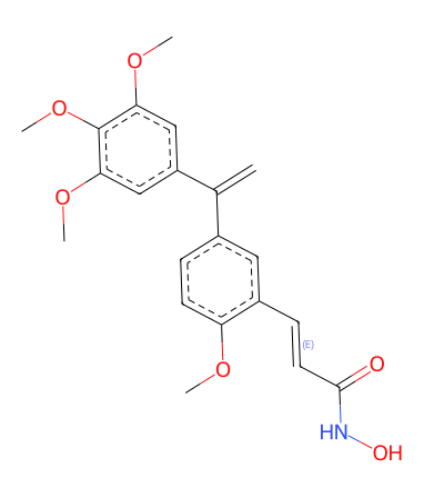 C=C(c1ccc(OC)c(/C=C/C(=O)NO)c1)c1cc(OC)c(OC)c(OC)c1